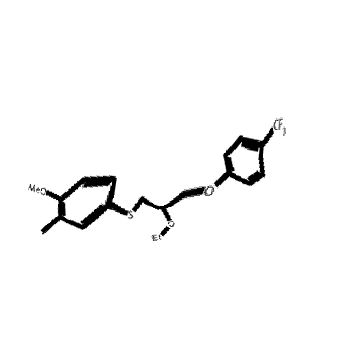 CCOC(COc1ccc(C(F)(F)F)cc1)CSc1ccc(OC)c(C)c1